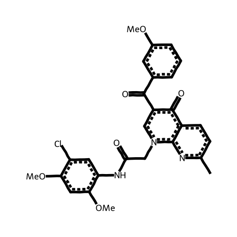 COc1cccc(C(=O)c2cn(CC(=O)Nc3cc(Cl)c(OC)cc3OC)c3nc(C)ccc3c2=O)c1